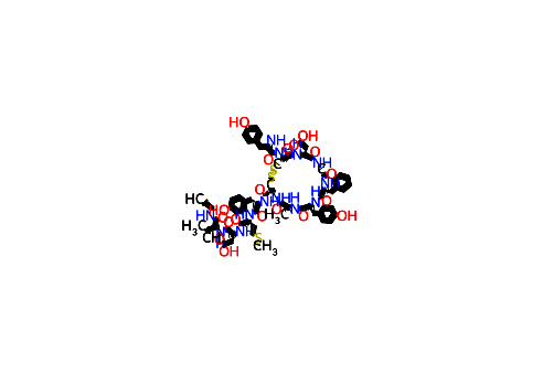 C#CCNC(=O)[C@@H](NC(=O)[C@H](CC(=O)O)NC(=O)[C@H](CCSC)NC(=O)[C@H](Cc1ccc(O)cc1)NC(=O)[C@@H]1CSSC[C@H](NC(=O)[C@@H](N)Cc2ccc(O)cc2)C(=O)N[C@@H](CC(=O)O)C(=O)NCC(=O)N[C@@H](Cc2ccccc2)C(=O)N[C@H](Cc2ccc(O)cc2)C(=O)N[C@@H](C)C(=O)N1)C(C)C